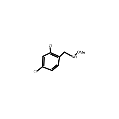 CONCc1ccc(Cl)cc1Cl